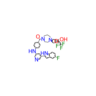 CN1CCCN(C(=O)c2ccc(Nc3cncc(-c4cc5cc(F)ccc5[nH]4)c3)cc2)CC1.O=C(O)C(F)(F)F